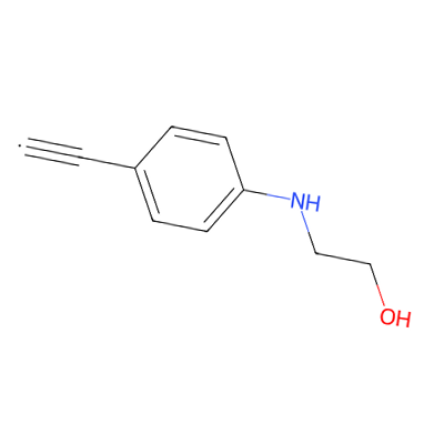 [C]#Cc1ccc(NCCO)cc1